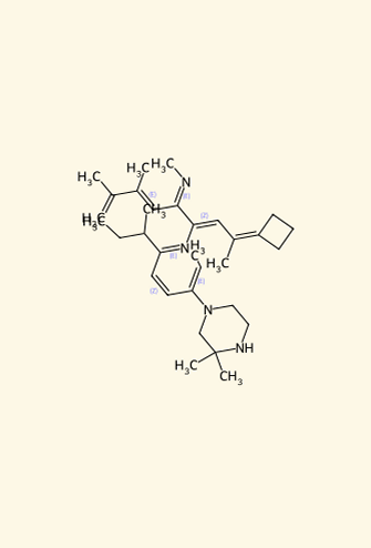 C=C(C)/C(C)=C/C(=N\C)C(=C/C(C)=C1CCC1)/N=C(/C=C\C(=C/C)N1CCNC(C)(C)C1)C(C)CC